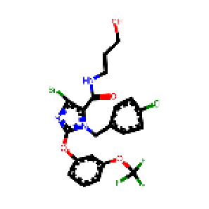 O=C(NCCCO)c1c(Br)nc(Oc2cccc(OC(F)(F)F)c2)n1Cc1ccc(Cl)cc1